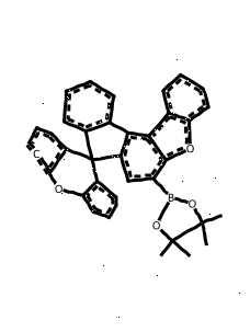 CC1(C)OB(c2cc3c(c4c2oc2ccccc24)-c2ccccc2C32c3ccccc3Oc3ccccc32)OC1(C)C